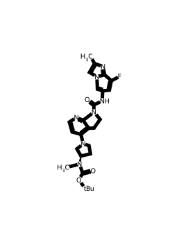 Cc1cn2cc(NC(=O)N3CCc4c(N5CC[C@@H](N(C)C(=O)OC(C)(C)C)C5)ccnc43)cc(F)c2n1